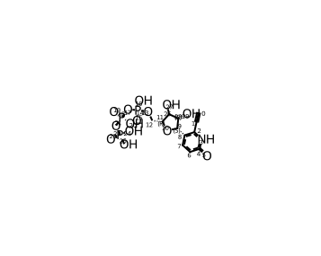 C#Cc1[nH]c(=O)ccc1[C@@H]1O[C@H](COP(=O)(O)OP(=O)(O)OP(=O)(O)O)C(O)[C@@H]1O